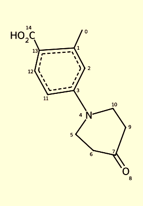 Cc1cc(N2CCC(=O)CC2)ccc1C(=O)O